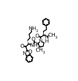 CN[C@H](CCc1ccccc1)C(=O)N1CC[C@H](C)[C@H]1C(=O)N[C@@H](CCCCN)C(=O)c1nc2ccccc2o1